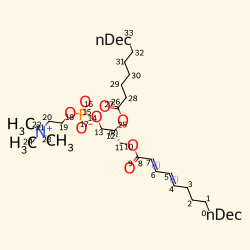 CCCCCCCCCCCCC/C=C/C=C/C(=O)OC[C@H](COP(=O)([O-])OCC[N+](C)(C)C)OC(=O)CCCCCCCCCCCCCCC